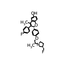 CC1=C(c2ccc(F)cc2)[C@@H](c2ccc(OC[C@H](C)N3CC[C@@H](CF)C3)cc2)Oc2ccc(O)cc21